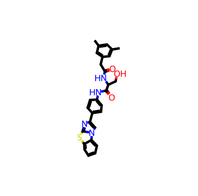 Cc1cc(C)cc(CC(=O)NC(CO)C(=O)Nc2ccc(-c3cn4c(n3)sc3ccccc34)cc2)c1